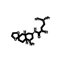 CCCN(CCC)CCN(CC)C(=O)N[C@H]1C[C@@H]2CC3(CC[C@H]2N(CCC)C1)OCCO3